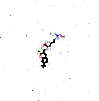 CC(C)(C)c1cc2c(cc1Cl)C=C(C(=O)NC(CCCCN/C(N)=N\O)C(=O)O)[C@@H](C(F)(F)F)O2